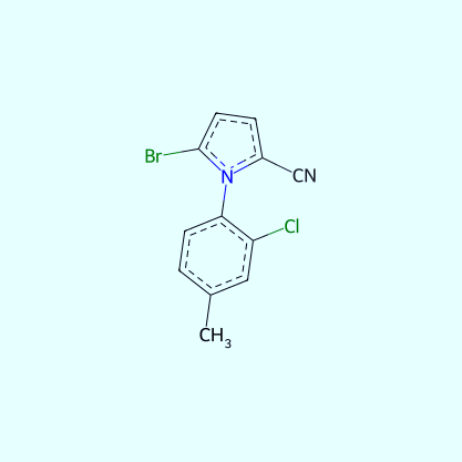 Cc1ccc(-n2c(Br)ccc2C#N)c(Cl)c1